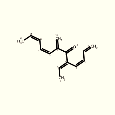 C=C/C=C\C(=C/C)C(=O)C(=C)/C=C\C=C/C